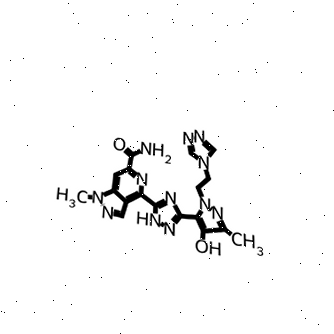 Cc1nn(CCn2cnnc2)c(-c2n[nH]c(-c3nc(C(N)=O)cc4c3cnn4C)n2)c1O